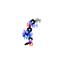 CC#CC(=O)N1CC[C@@H](n2nc(-c3ccc(C(=O)Nc4cc(C(C)C)ccn4)cc3)c3c(N)ncnc32)C1